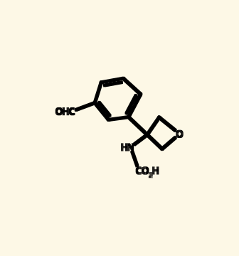 O=Cc1cccc(C2(NC(=O)O)COC2)c1